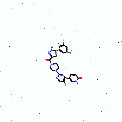 Cn1cc(-c2nc(N3CCN(C(=O)C4=NN[C@H](c5cc(F)cc(F)c5)C4)CC3)ncc2F)ccc1=O